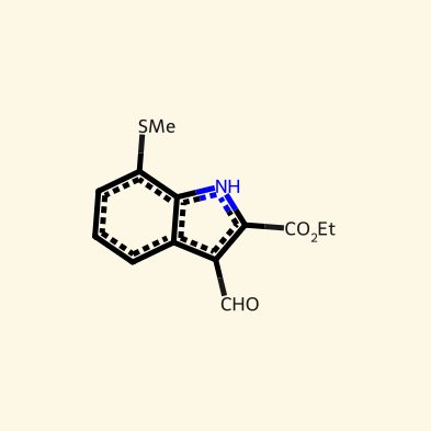 CCOC(=O)c1[nH]c2c(SC)cccc2c1C=O